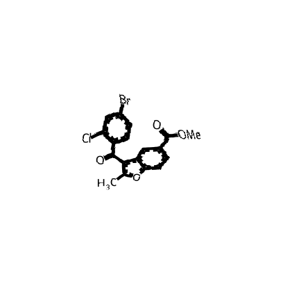 COC(=O)c1ccc2oc(C)c(C(=O)c3ccc(Br)cc3Cl)c2c1